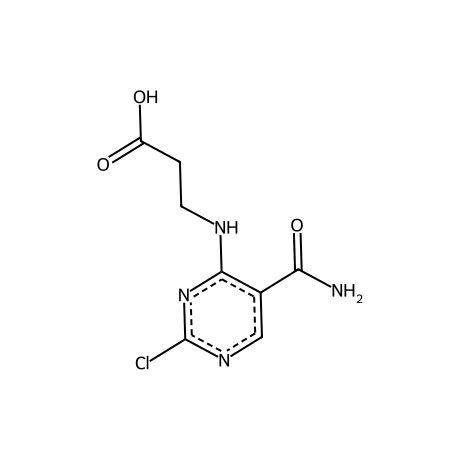 NC(=O)c1cnc(Cl)nc1NCCC(=O)O